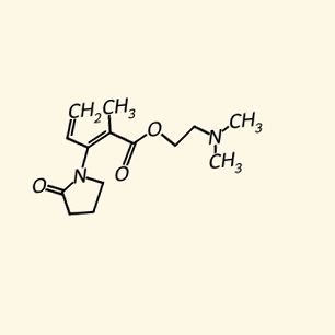 C=CC(=C(C)C(=O)OCCN(C)C)N1CCCC1=O